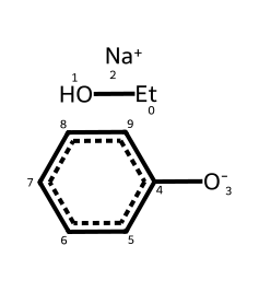 CCO.[Na+].[O-]c1ccccc1